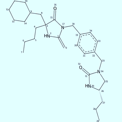 C=C1NC(CCCC)(CC2CCCCC2)C(=O)N1Cc1ccc(CN2C[C@H](CCC)NC2=O)cc1